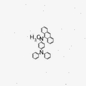 CN(c1ccc(N(c2ccccc2)c2ccccc2)cc1)c1c2ccccc2cc2ccccc12